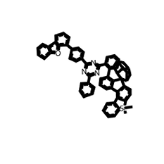 C[Si]1(C)c2ccccc2-c2c1ccc1c2-c2cccc(-c3ccccc3-c3nc(-c4ccccc4)nc(-c4ccc(-c5cccc6c5oc5ccccc56)cc4)n3)c2C12C1CC3CC(C1)CC2C3